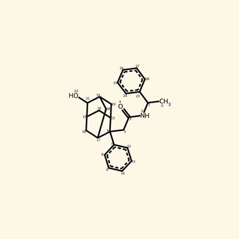 CC(NC(=O)CC1(c2ccccc2)C2CC3CC1CC(C2)C3O)c1ccccc1